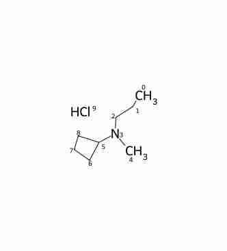 CCCN(C)C1CCC1.Cl